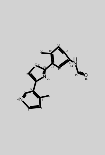 Cc1ccncc1-c1csc(-c2cc(NC=O)ccc2C)n1